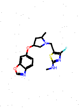 CNc1nc(F)c(CN2CC(Oc3ccc4ncoc4c3)CC2C)s1